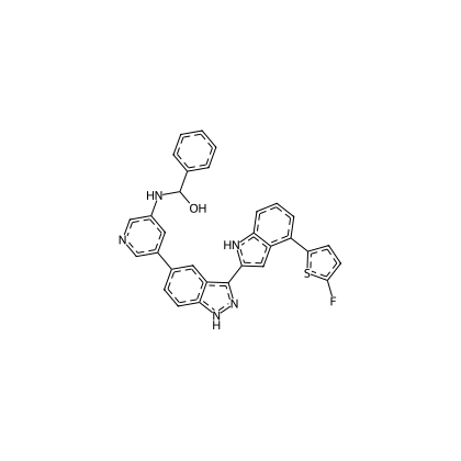 OC(Nc1cncc(-c2ccc3[nH]nc(-c4cc5c(-c6ccc(F)s6)cccc5[nH]4)c3c2)c1)c1ccccc1